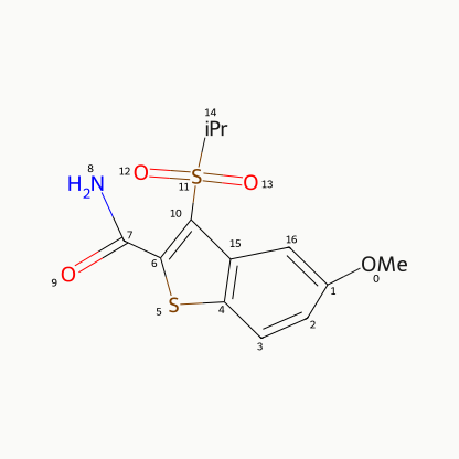 COc1ccc2sc(C(N)=O)c(S(=O)(=O)C(C)C)c2c1